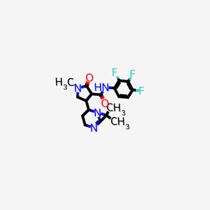 CN1CC(C2CCN=C3N2C3(C)C)C(C(=O)Nc2ccc(F)c(F)c2F)C1=O